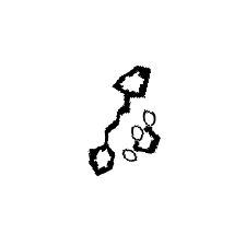 C(C=Cc1ccccc1)=Cc1ccccc1.O=C1C=CC(=O)O1